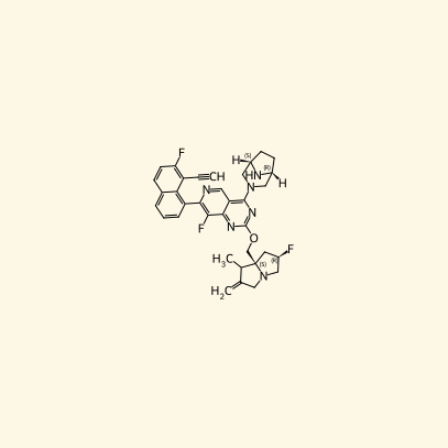 C#Cc1c(F)ccc2cccc(-c3ncc4c(N5C[C@H]6CC[C@@H](C5)N6)nc(OC[C@@]56C[C@@H](F)CN5CC(=C)C6C)nc4c3F)c12